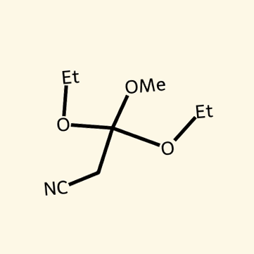 CCOC(CC#N)(OC)OCC